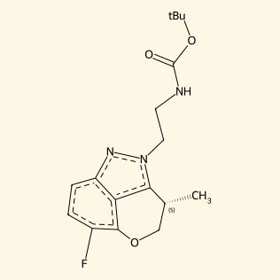 C[C@@H]1COc2c(F)ccc3nn(CCNC(=O)OC(C)(C)C)c1c23